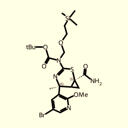 COc1ncc(Br)cc1[C@@]1(C)N=C(N(COCC[Si](C)(C)C)C(=O)OC(C)(C)C)S[C@@]2(C(N)=O)CC21